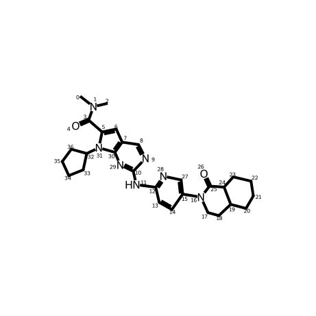 CN(C)C(=O)c1cc2cnc(Nc3ccc(N4CCC5CCCCC5C4=O)cn3)nc2n1C1CCCC1